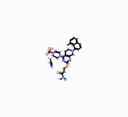 Cc1cccc2cccc(N3CCc4c(nc(OCCC(=O)N(C)C)nc4N4C=CN(C(=O)O)[C@@H](CC#N)C4)C3)c12